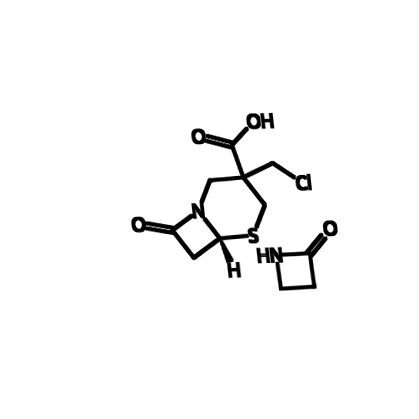 O=C1CCN1.O=C1C[C@H]2SCC(CCl)(C(=O)O)CN12